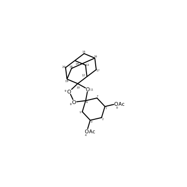 CC(=O)OC1CC(OC(C)=O)CC2(C1)OOC1(O2)C2CC3CC(C2)CC1C3